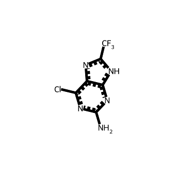 Nc1nc(Cl)c2nc(C(F)(F)F)[nH]c2n1